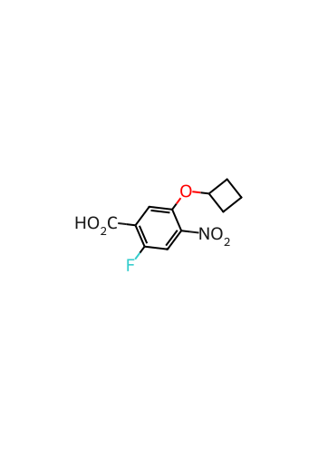 O=C(O)c1cc(OC2CCC2)c([N+](=O)[O-])cc1F